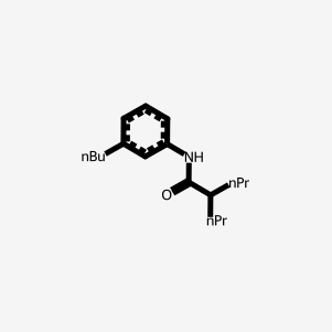 CCCCc1cccc(NC(=O)C(CCC)CCC)c1